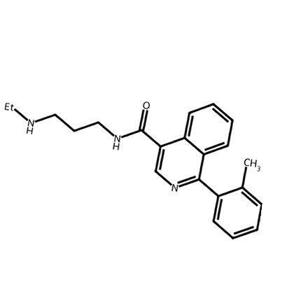 CCNCCCNC(=O)c1cnc(-c2ccccc2C)c2ccccc12